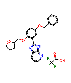 O=C(O)C(F)(F)F.c1ccc(COc2ccc(OCC3CCCO3)c(-c3nc4cccnc4[nH]3)c2)cc1